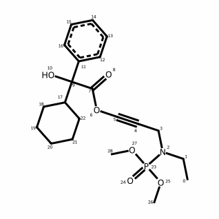 CCN(CC#COC(=O)C(O)(c1ccccc1)C1CCCCC1)P(=O)(OC)OC